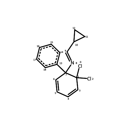 ClC1(Cl)C=CC=CC1(N=CC1CC1)c1ccccc1